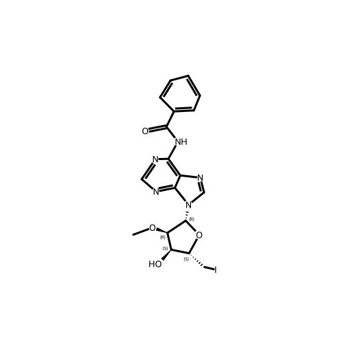 CO[C@@H]1[C@H](O)[C@@H](CI)O[C@H]1n1cnc2c(NC(=O)c3ccccc3)ncnc21